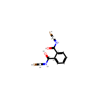 O=C(N=C=S)c1ccccc1C(=O)N=C=S